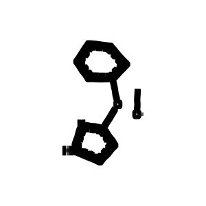 C[O].c1ccc(Oc2cc[nH]n2)cc1